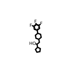 OC(CC1CCC(c2cc(F)c(F)c(F)c2)CC1)C1CCCC1